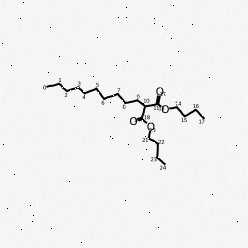 CCCCCCCCCCC(C(=O)OCCCC)C(=O)OCCCC